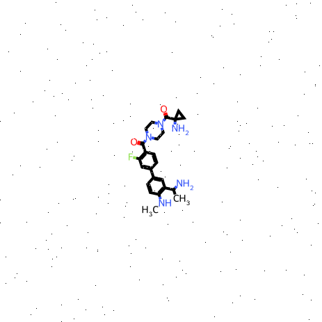 CNc1ccc(-c2ccc(C(=O)N3CCN(C(=O)C4(N)CC4)CC3)c(F)c2)cc1C(C)N